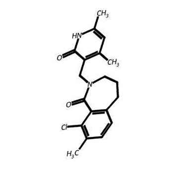 Cc1cc(C)c(CN2CCCc3ccc(C)c(Cl)c3C2=O)c(=O)[nH]1